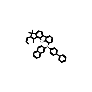 C/C=C\C1=C(C)c2c(ccc3c2oc2c(N(c4ccc(-c5ccccc5)cc4)c4ccc5ccccc5c4)cccc23)C1(C)C